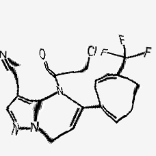 N#Cc1cnn2c1N(C(=O)CCl)C(C1=CCCC(C(F)(F)F)=C1)=CC2